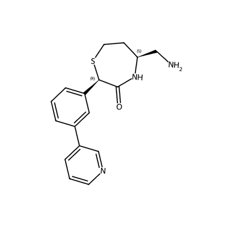 NC[C@@H]1CCS[C@H](c2cccc(-c3cccnc3)c2)C(=O)N1